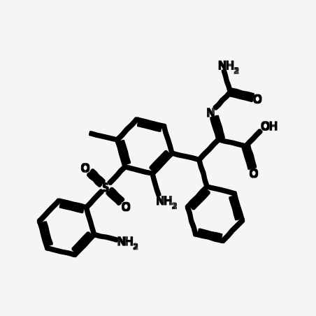 Cc1ccc(C(C(=NC(N)=O)C(=O)O)c2ccccc2)c(N)c1S(=O)(=O)c1ccccc1N